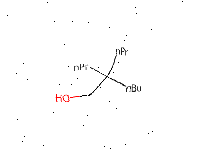 CCCCC(CO)(CCC)CCC